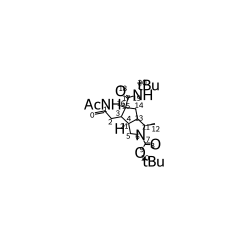 C=CCC1[C@@H]2CN(C(=O)OC(C)(C)C)[C@H](C)C2CC1(NC(C)=O)C(=O)NC(C)(C)C